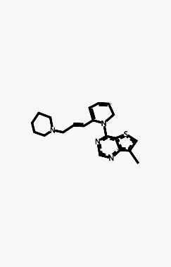 Cc1csc2c(N3C[C]=CC=C3C=CCN3CCCCC3)ncnc12